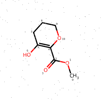 COC(=O)C1=C(O)CCCO1